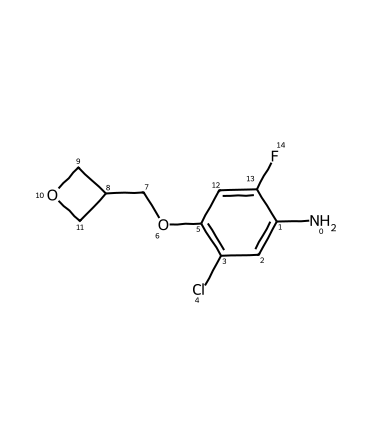 Nc1cc(Cl)c(OCC2COC2)cc1F